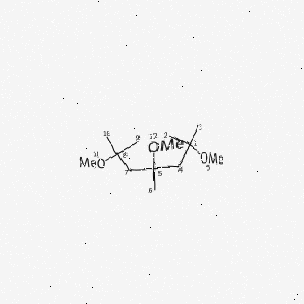 COC(C)(C)CC(C)(CC(C)(C)OC)OC